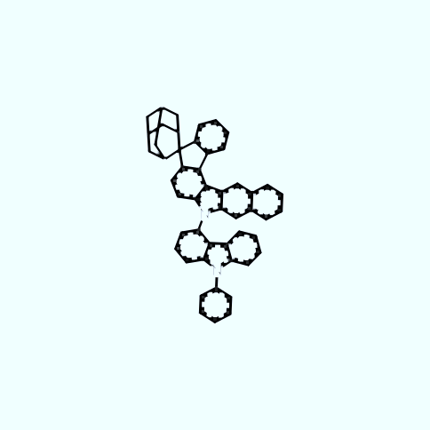 c1ccc(-n2c3ccccc3c3c(-n4c5cc6ccccc6cc5c5c6c(ccc54)C4(c5ccccc5-6)C5CC6CC(C5)CC4C6)cccc32)cc1